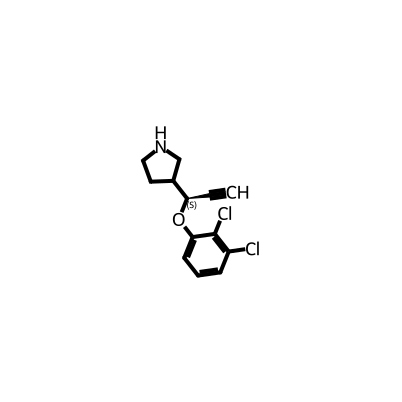 C#C[C@@H](Oc1cccc(Cl)c1Cl)C1CCNC1